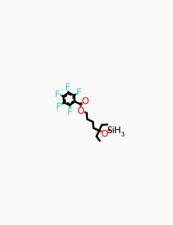 CCC(CC)(CCCCOC(=O)c1c(F)c(F)c(F)c(F)c1F)O[SiH3]